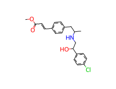 COC(=O)/C=C/c1ccc(CC(C)NCC(O)c2ccc(Cl)cc2)cc1